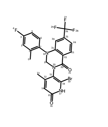 Cc1cc(F)ccc1N1CN(c2c(C)cc(=O)[nH]c2Br)C(=O)c2ccc(C(F)(F)F)cc21